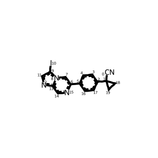 N#CC1(c2ccc(-c3cn4c(I)cnc4cn3)cc2)CC1